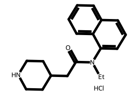 CCN(C(=O)CC1CCNCC1)c1cccc2ccccc12.Cl